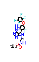 CC(CNC(=O)OC(C)(C)C)n1nc(-c2ccc(Oc3c(F)c(F)cc(F)c3F)cc2F)c2c(N)ncnc21